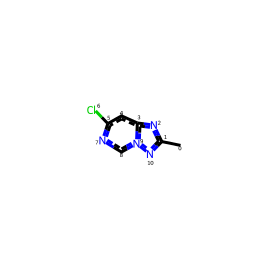 Cc1nc2cc(Cl)ncn2n1